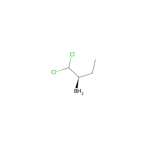 B[C@H](CC)C(Cl)Cl